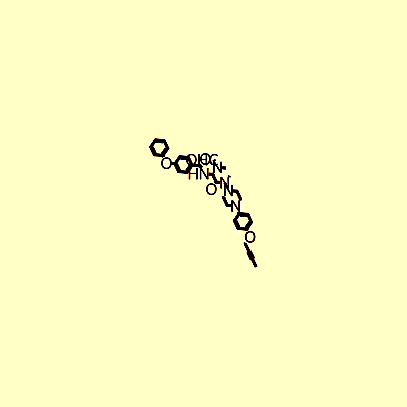 CC#CCOc1ccc(N2CCN(N(C)C(=O)C(NC(=O)c3ccc(Oc4ccccc4)cc3)N(C)C=O)CC2)cc1